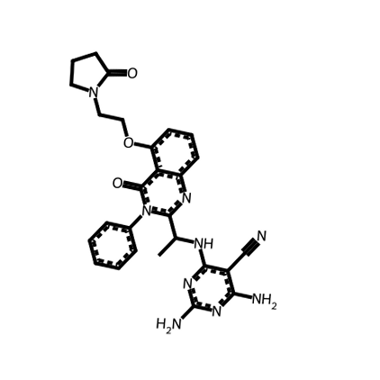 CC(Nc1nc(N)nc(N)c1C#N)c1nc2cccc(OCCN3CCCC3=O)c2c(=O)n1-c1ccccc1